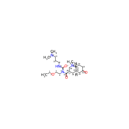 CCOCCN(C(=O)NCCCN(C)C)C(=O)[C@@H]1C[C@@H]2CC(=O)CC[C@H]2N(C)C1